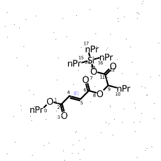 CCCOC(=O)/C=C/C(=O)OC(CCC)C(=O)O[Si](CCC)(CCC)CCC